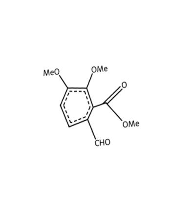 COC(=O)c1c(C=O)ccc(OC)c1OC